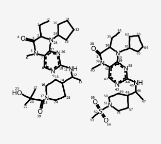 CCC1C(=O)N(C)c2cnc(NC(C)C3CCN(C(=O)C(C)(C)O)CC3)nc2N1C1CCCC1.CCC1C(=O)N(C)c2cnc(NC(C)C3CCN(S(C)(=O)=O)CC3)nc2N1C1CCCC1